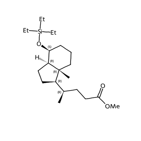 CC[Si](CC)(CC)O[C@H]1CCC[C@]2(C)[C@@H]([C@H](C)CCC(=O)OC)CC[C@@H]12